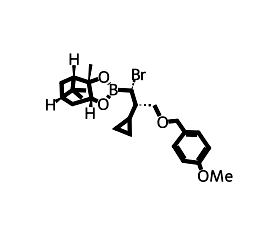 COc1ccc(COC[C@H](C2CC2)[C@@H](Br)B2O[C@@H]3C[C@@H]4C[C@@H](C4(C)C)[C@]3(C)O2)cc1